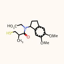 COc1cc2c(cc1OC)C(N(CC(=O)O)C(=O)C(C)CS)CC2